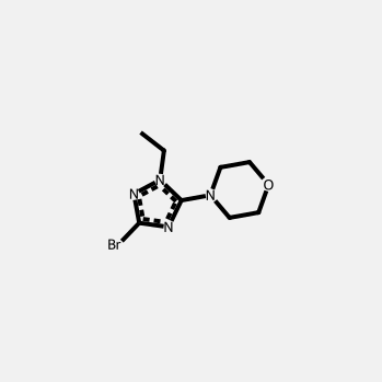 CCn1nc(Br)nc1N1CCOCC1